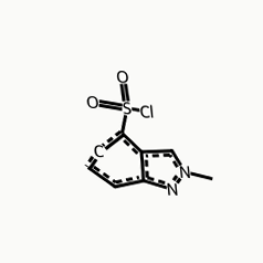 Cn1cc2c(S(=O)(=O)Cl)cccc2n1